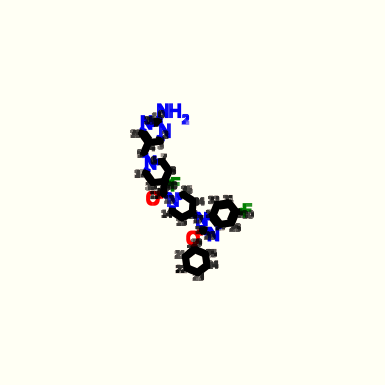 Nc1ncc(CN2CCC(F)(C(=O)N3CCC(n4c(OC5CCCCC5)nc5cc(F)ccc54)CC3)CC2)cn1